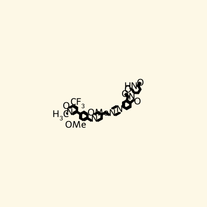 COc1cc(-c2cc(C(F)(F)F)c(=O)n(C)c2)cc(OC)c1CN1CCC(CCN2CCN(c3ccc4c(c3)C(=O)N(C3CCC(=O)NC3=O)C4=O)CC2)CC1